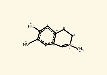 C[N+]1=Cc2cc(O)c(O)cc2CC1